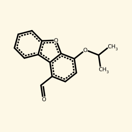 CC(C)Oc1ccc(C=O)c2c1oc1ccccc12